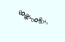 COC(=O)c1ccc(OCCSc2nnc(-c3ccc4c(c3)CCO4)o2)cc1